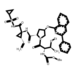 C=C[C@@H]1C[C@]1(NC(=O)[C@@H]1C[C@@H](Oc2nc(-c3ccccc3)cc3ccccc23)CN1C(=O)[C@@H](NC(=O)OC(C)(C)C)[C@H](C)OCC)C(=O)NS(=O)(=O)C1CC1